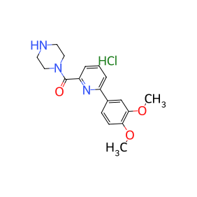 COc1ccc(-c2cccc(C(=O)N3CCNCC3)n2)cc1OC.Cl